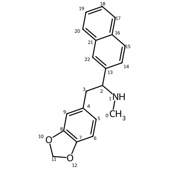 CNC(Cc1ccc2c(c1)OCO2)c1ccc2ccccc2c1